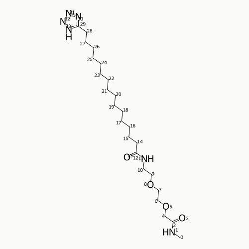 CNC(=O)COCCOCCNC(=O)CCCCCCCCCCCCCCCc1nnn[nH]1